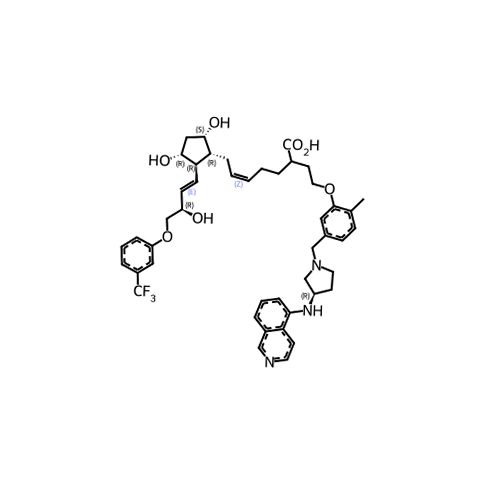 Cc1ccc(CN2CC[C@@H](Nc3cccc4cnccc34)C2)cc1OCCC(CC/C=C\C[C@@H]1[C@@H](/C=C/[C@@H](O)COc2cccc(C(F)(F)F)c2)[C@H](O)C[C@@H]1O)C(=O)O